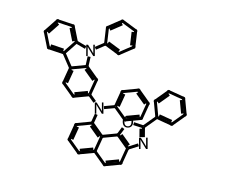 c1ccc(-c2nc3ccc4cccc(N(c5ccccc5)c5ccc6c7ccccc7n(-c7ccccc7)c6c5)c4c3o2)cc1